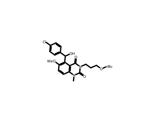 CCCCOCCCn1c(=O)c2c(C(O)c3ccc(Cl)cc3)c(OC)ccc2n(C)c1=O